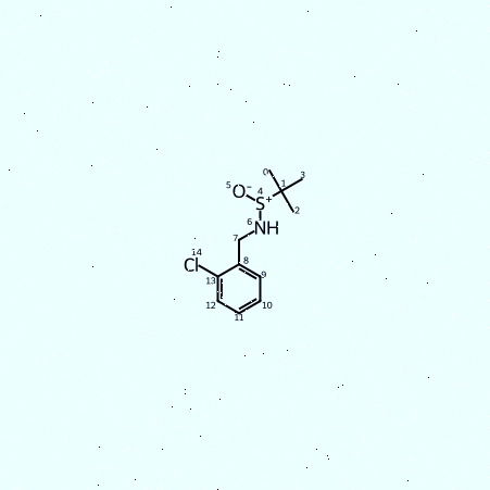 CC(C)(C)[S+]([O-])NCc1ccccc1Cl